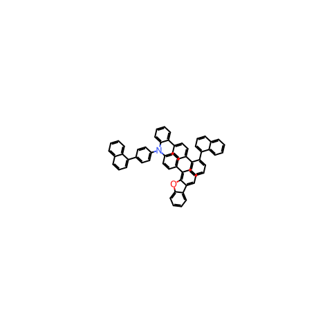 c1ccc(-c2cccc3ccccc23)c(-c2ccc(-c3ccccc3N(c3ccc(-c4cccc5ccccc45)cc3)c3ccc(-c4cccc5c4oc4ccccc45)cc3)cc2)c1